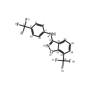 FC(F)(F)c1ccc(Nc2noc3c(C(F)(F)F)cccc23)cc1